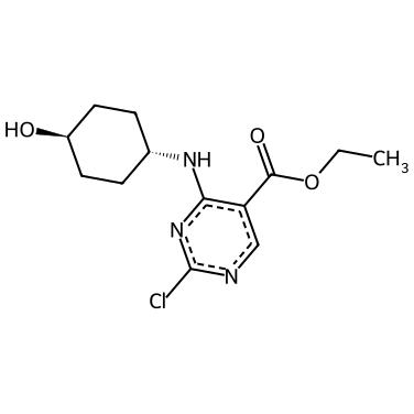 CCOC(=O)c1cnc(Cl)nc1N[C@H]1CC[C@H](O)CC1